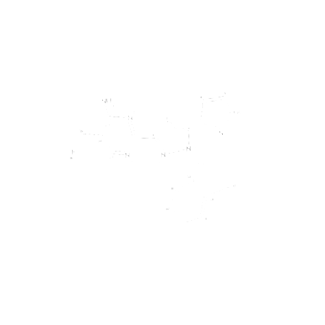 Nc1nc(-c2cc(-c3ccon3)n(Cc3ccccc3F)n2)ncc1CF